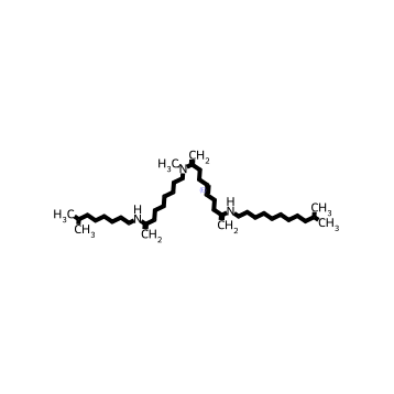 C=C(CC/C=C/CCC(=C)N(C)CCCCCCCC(=C)NCCCCCCC(C)C)NCCCCCCCCCC(C)C